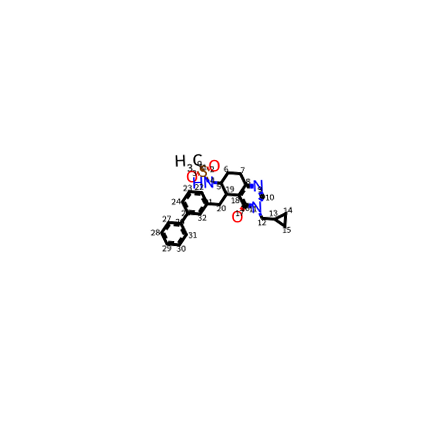 CS(=O)(=O)NC1CCc2ncn(CC3CC3)c(=O)c2C1Cc1cccc(-c2ccccc2)c1